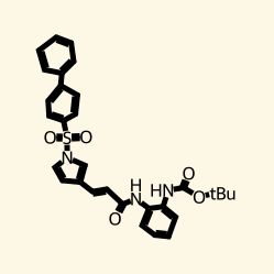 CC(C)(C)OC(=O)Nc1ccccc1NC(=O)C=Cc1ccn(S(=O)(=O)c2ccc(-c3ccccc3)cc2)c1